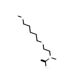 CCOCCCCCOCCN(C)C(N)=O